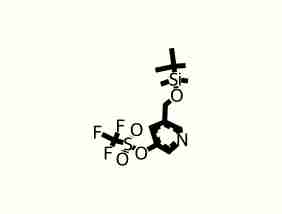 CC(C)(C)[Si](C)(C)OCc1cncc(OS(=O)(=O)C(F)(F)F)c1